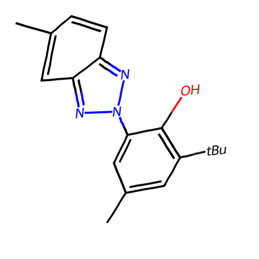 Cc1cc(-n2nc3ccc(C)cc3n2)c(O)c(C(C)(C)C)c1